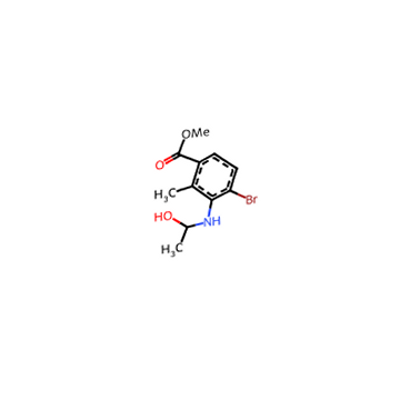 COC(=O)c1ccc(Br)c(NC(C)O)c1C